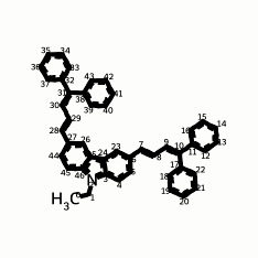 CCn1c2ccc(C=CC=C(c3ccccc3)c3ccccc3)cc2c2cc(C=CC=C(c3ccccc3)c3ccccc3)ccc21